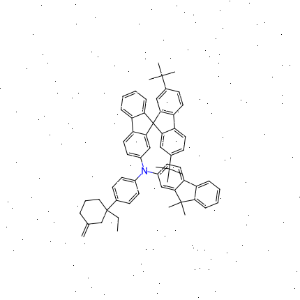 C=C1CCCC(CC)(c2ccc(N(c3ccc4c(c3)C(C)(C)c3ccccc3-4)c3ccc4c(c3)C3(c5ccccc5-4)c4cc(C(C)(C)C)ccc4-c4ccc(C(C)(C)C)cc43)cc2)C1